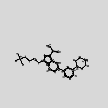 CC(C)(C)C(=O)c1cn(COCC[Si](C)(C)C)c2ncc(-c3cccc(N4CCNCC4)c3)nc12